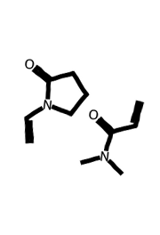 C=CC(=O)N(C)C.C=CN1CCCC1=O